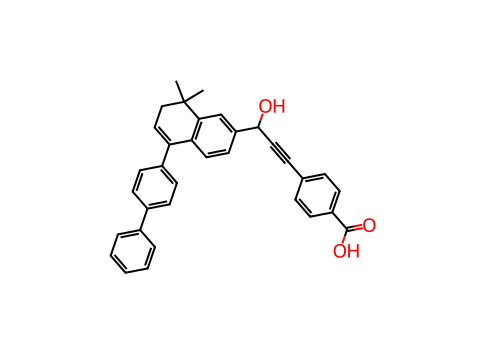 CC1(C)CC=C(c2ccc(-c3ccccc3)cc2)c2ccc(C(O)C#Cc3ccc(C(=O)O)cc3)cc21